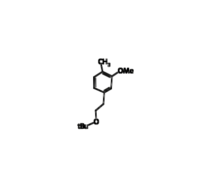 COc1cc(CCOC(C)(C)C)ccc1C